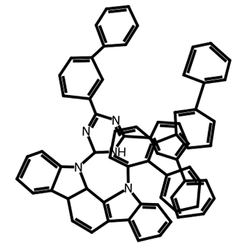 C1=CC(c2c(-c3cccc(-c4ccccc4)c3)cccc2-n2c3c(c4ccccc42)C=CC2c4ccccc4N(C4N=C(c5cccc(-c6ccccc6)c5)N=C(c5cccc(-c6ccccc6)c5)N4)C32)=CCC1